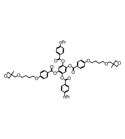 CCCc1ccc(C(=O)Oc2cc(OC(=O)c3ccc(OCCCCOCC4(C)COC4)cc3)c(OC(=O)c3ccc(CCC)cc3)cc2OC(=O)c2ccc(OCCCCOCC3(C)COC3)cc2)cc1